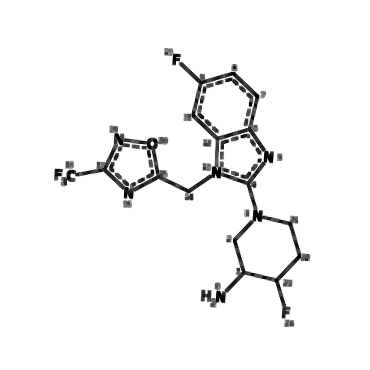 NC1CN(c2nc3ccc(F)cc3n2Cc2nc(C(F)(F)F)no2)CCC1F